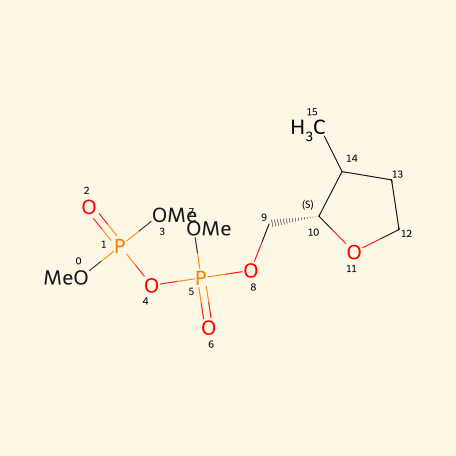 COP(=O)(OC)OP(=O)(OC)OC[C@H]1OCCC1C